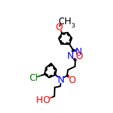 COc1ccc(-c2noc(CCC(=O)N(CCCO)c3cccc(Cl)c3)n2)cc1